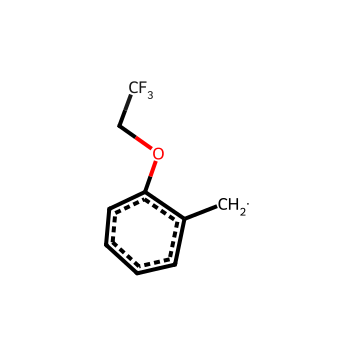 [CH2]c1ccccc1OCC(F)(F)F